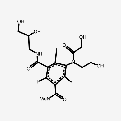 CNC(=O)c1c(I)c(C(=O)NCC(O)CO)c(I)c(N(CCO)C(=O)CO)c1I